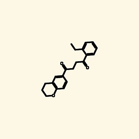 CCc1ccccc1C(=O)CCC(=O)c1ccc2c(c1)CCCO2